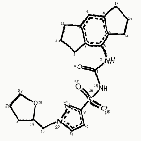 O=C(Nc1c2c(cc3c1CCC3)CCC2)NS(=O)(=O)c1ccn(CC2CCCO2)n1